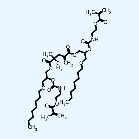 C=C(C)C(=O)OCCNC(=O)OC(COCCCCCCCC)COC(=O)C(=C)CC(C)(C)C(=O)OCC(COCCCCCCCC)OC(=O)NCCOC(=O)C(=C)C